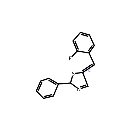 Fc1ccccc1/C=C1/C=NC(c2ccccc2)S1